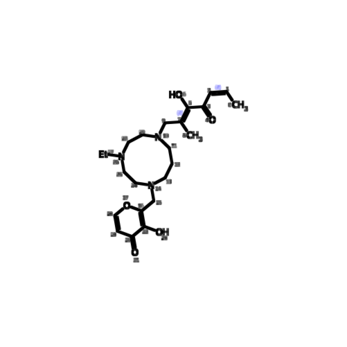 C/C=C\C(=O)/C(O)=C(\C)CN1CCCN(Cc2occc(=O)c2O)CCN(CC)CC1